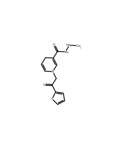 CNNC(=O)C1=CN(CC(=O)c2cccs2)C=CC1